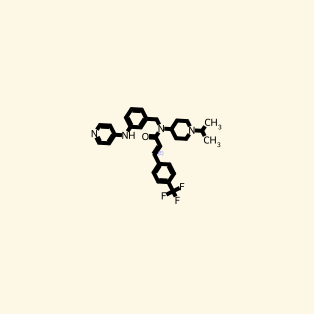 CC(C)N1CCC(N(Cc2cccc(Nc3ccncc3)c2)C(=O)/C=C/c2ccc(C(F)(F)F)cc2)CC1